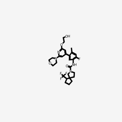 Cc1cc(F)c(NC(=O)N2CCC3(CCCC3C(F)(F)F)C2)cc1-c1cc(OCCO)nc(N2CCOCC2)c1